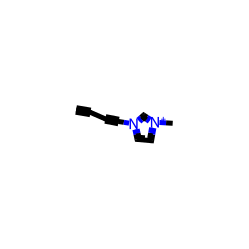 C#CC#Cn1cc[n+](C)c1